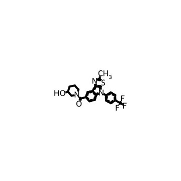 Cc1nc2c3cc(C(=O)N4CCCC(O)C4)ccc3n(-c3ccc(C(F)(F)F)cc3)c2s1